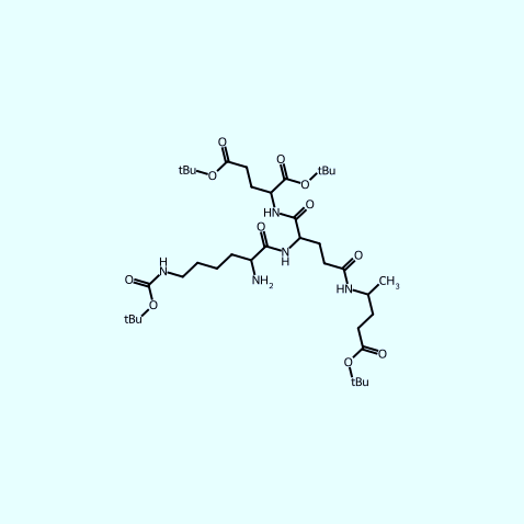 CC(CCC(=O)OC(C)(C)C)NC(=O)CCC(NC(=O)C(N)CCCCNC(=O)OC(C)(C)C)C(=O)NC(CCC(=O)OC(C)(C)C)C(=O)OC(C)(C)C